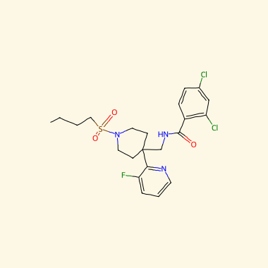 CCCCS(=O)(=O)N1CCC(CNC(=O)c2ccc(Cl)cc2Cl)(c2ncccc2F)CC1